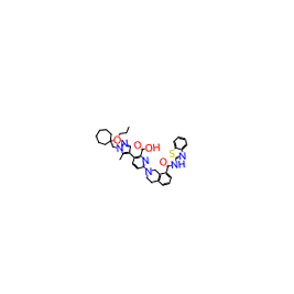 CCCOC1(Cn2ncc(-c3ccc(N4CCc5cccc(C(=O)Nc6nc7ccccc7s6)c5C4)nc3C(=O)O)c2C)CCCCCC1